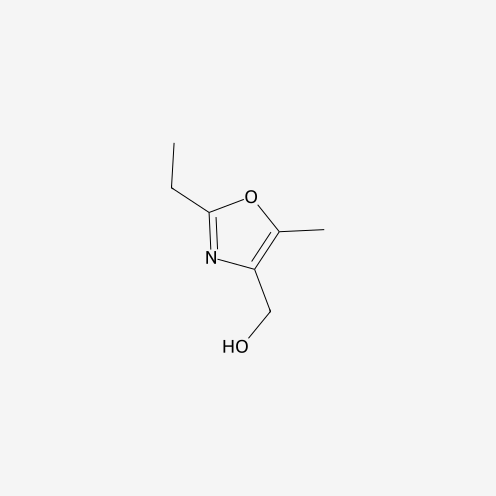 CCc1nc(CO)c(C)o1